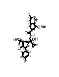 COc1cc(C(=O)NC[C@](O)(c2cc(C(C)(C)O)c(Cl)c(-c3ccc(F)cc3)n2)C2CC2)cc2cc(C)nnc12